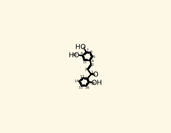 O=C(C=Cc1ccc(O)c(O)c1)c1ccccc1O